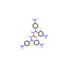 CC(C(=O)C(C)N1c2ccc(N(C)C)cc2Sc2cc(N(C)C)ccc21)N1c2ccc(N(C)C)cc2Sc2cc(N(C)C)ccc21